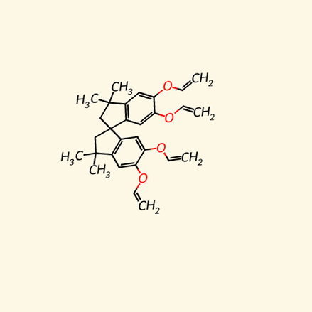 C=COc1cc2c(cc1OC=C)C1(CC2(C)C)CC(C)(C)c2cc(OC=C)c(OC=C)cc21